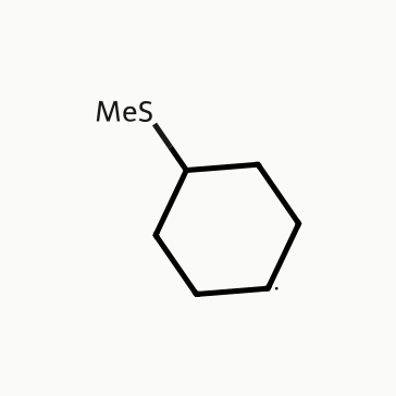 CSC1CC[CH]CC1